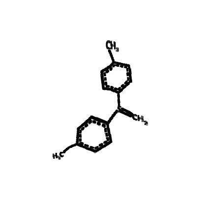 C=S(c1ccc(C)cc1)c1ccc(C)cc1